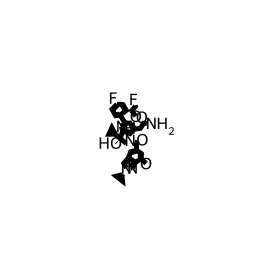 COc1cc(C(=O)NC[C@](O)(c2cc(CC(N)=O)c(OCCF)c(-c3ccc(F)cc3)n2)C2CC2)cc2cn(C3CC3)nc12